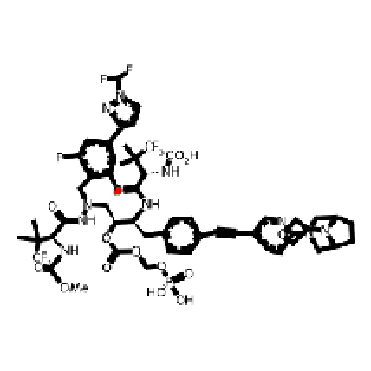 COC(=O)N[C@H](C(=O)NN(Cc1c(F)cc(-c2ccn(C(F)F)n2)cc1F)C[C@H](OC(=O)OCOP(=O)(O)O)[C@H](Cc1ccc(C#Cc2ccc(N3CC4CCC(C3)N4C3COC3)nc2)cc1)NC(=O)[C@@H](NC(=O)O)C(C)(C)C(F)(F)F)C(C)(C)C(F)(F)F